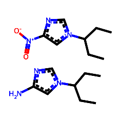 CCC(CC)n1cnc(N)c1.CCC(CC)n1cnc([N+](=O)[O-])c1